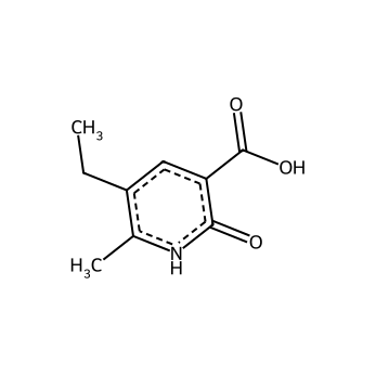 CCc1cc(C(=O)O)c(=O)[nH]c1C